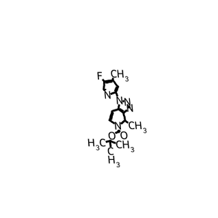 Cc1cc(-n2nnc3c2C=CN(C(=O)OC(C)(C)C)C3C)ncc1F